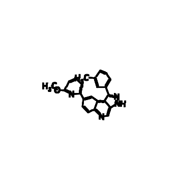 COc1cccc(-c2ccc3ncc4[nH]nc(-c5cccc(C)c5)c4c3c2)n1